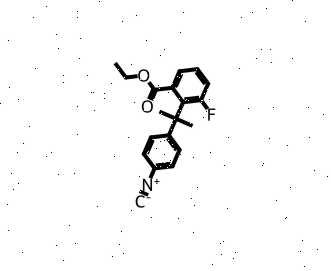 [C-]#[N+]c1ccc(C(C)(C)c2c(F)cccc2C(=O)OCC)cc1